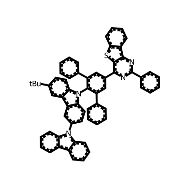 CC(C)(C)c1ccc2c(c1)c1cc(-n3c4ccccc4c4ccccc43)ccc1n2-c1c(-c2ccccc2)cc(-c2nc(-c3ccccc3)nc3c2sc2ccccc23)cc1-c1ccccc1